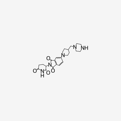 O=C1CCC(N2C(=O)c3ccc(N4CCC(CN5CCNCC5)CC4)cc3C2=O)C(=O)N1